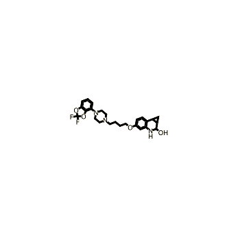 OC1Nc2cc(OCCCCN3CCN(c4cccc5c4OC(F)(F)O5)CC3)ccc2C2CC12